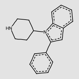 c1ccc(-c2cc3ccccc3n2C2CCNCC2)cc1